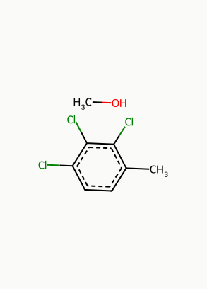 CO.Cc1ccc(Cl)c(Cl)c1Cl